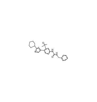 CP(C)(=O)c1cc(NC(=O)NCc2ccccc2)ccc1-c1cnc(C2CCCCC2)s1